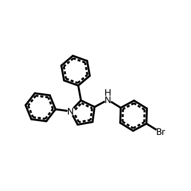 Brc1ccc(Nc2ccn(-c3ccccc3)c2-c2ccccc2)cc1